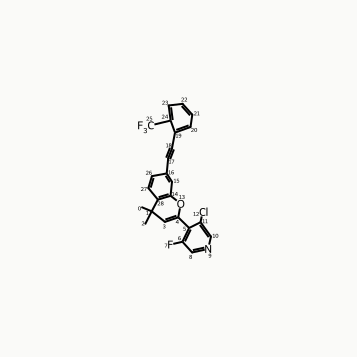 CC1(C)C=C(c2c(F)cncc2Cl)Oc2cc(C#Cc3ccccc3C(F)(F)F)ccc21